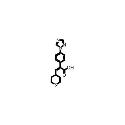 O=C(O)C(=CC1CCSCC1)c1ccc(-n2cncn2)cc1